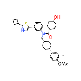 COc1ccc([C@H]2CC[C@H](CN(c3cccc(-c4cnc(C5CCC5)s4)c3)C(=O)[C@H]3CC[C@H](O)CC3)CC2)cc1C